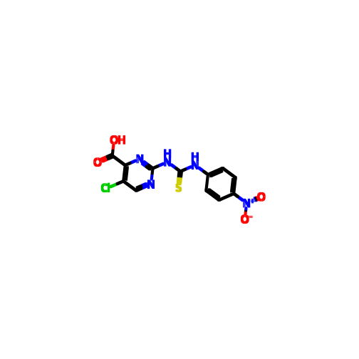 O=C(O)c1nc(NC(=S)Nc2ccc([N+](=O)[O-])cc2)ncc1Cl